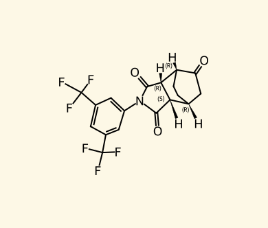 O=C1C[C@H]2CC[C@@H]1[C@H]1C(=O)N(c3cc(C(F)(F)F)cc(C(F)(F)F)c3)C(=O)[C@@H]21